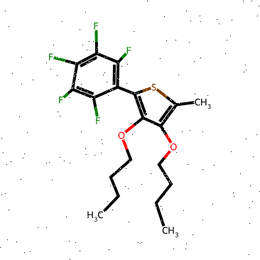 CCCCOc1c(C)sc(-c2c(F)c(F)c(F)c(F)c2F)c1OCCCC